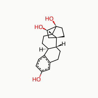 C[C@]12CC[C@@H]3c4ccc(O)cc4CC[C@H]3[C@@]13CC[C@@]2(O)[C@H](O)C3